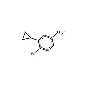 [CH2]c1ccc(Br)c(C2CC2)c1